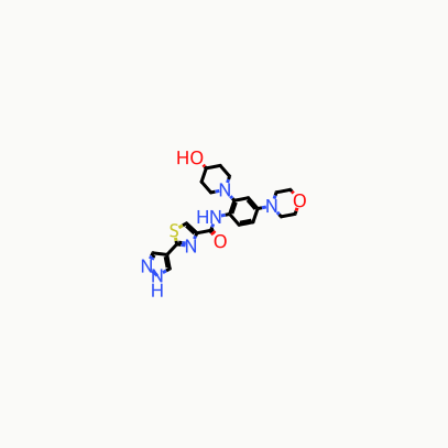 O=C(Nc1ccc(N2CCOCC2)cc1N1CCC(O)CC1)c1csc(-c2cn[nH]c2)n1